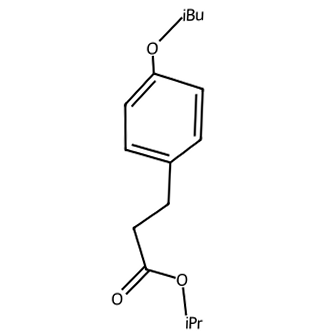 CCC(C)Oc1ccc(CCC(=O)OC(C)C)cc1